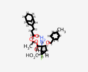 Cc1ccc(CO[C@@H]2C[C@@H]3[C@H]([C@]2(N)C(=O)O[C@@H](C)OC(=O)CCC2CC4CCCC(C4)C2)[C@@]3(F)C(=O)O)cc1